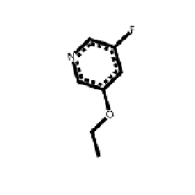 CCOc1cncc(F)c1